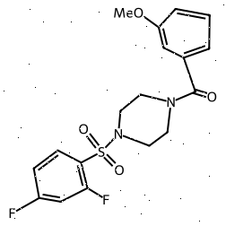 COc1cccc(C(=O)N2CCN(S(=O)(=O)c3ccc(F)cc3F)CC2)c1